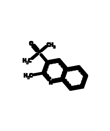 Cc1nc2ccccc2cc1P(C)(C)=O